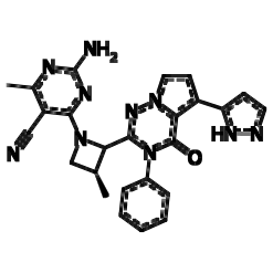 Cc1nc(N)nc(N2C[C@H](C)C2c2nn3ccc(-c4ccn[nH]4)c3c(=O)n2-c2ccccc2)c1C#N